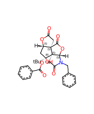 CC(C)(C)[C@]1(O)C[C@@H]2OC(=O)C[C@@]23C(=O)O[C@@H]2N(Cc4ccccc4)C(=O)[C@H](OC(=O)c4ccccc4)[C@]213